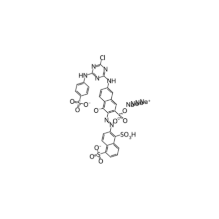 O=S(=O)([O-])c1ccc(Nc2nc(Cl)nc(Nc3ccc4c([O-])c(N=Nc5ccc6c(S(=O)(=O)[O-])cccc6c5S(=O)(=O)O)c(S(=O)(=O)[O-])cc4c3)n2)cc1.[Na+].[Na+].[Na+].[Na+]